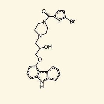 O=C(c1ccc(Br)s1)N1CCN(CC(O)COc2cccc3[nH]c4ccccc4c23)CC1